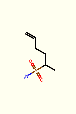 C=CCCC(C)S(N)(=O)=O